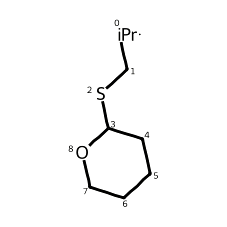 C[C](C)CSC1CCCCO1